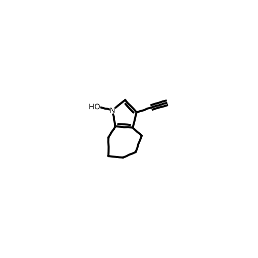 C#Cc1cn(O)c2c1CCCCC2